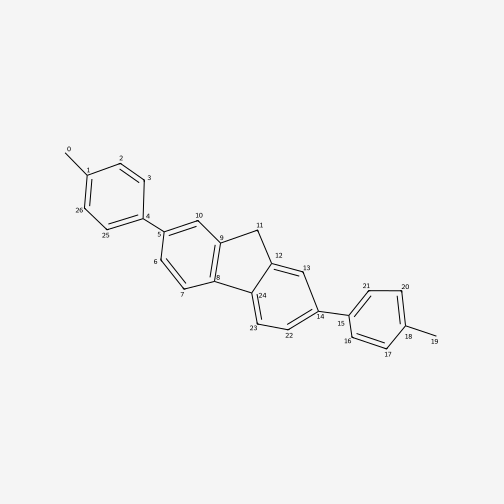 Cc1ccc(-c2ccc3c(c2)Cc2cc(-c4ccc(C)cc4)ccc2-3)cc1